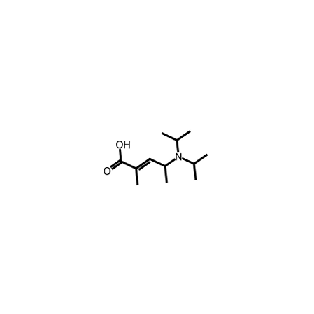 CC(=CC(C)N(C(C)C)C(C)C)C(=O)O